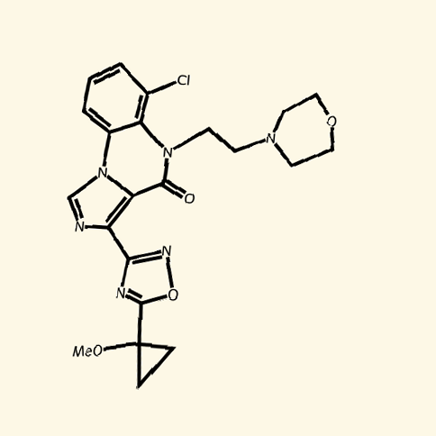 COC1(c2nc(-c3ncn4c3c(=O)n(CCN3CCOCC3)c3c(Cl)cccc34)no2)CC1